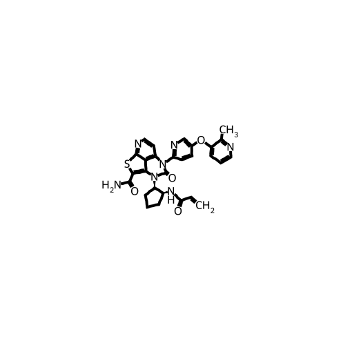 C=CC(=O)N[C@H]1CCC[C@H]1N1C(=O)N(c2ccc(Oc3cccnc3C)cn2)c2ccnc3sc(C(N)=O)c1c23